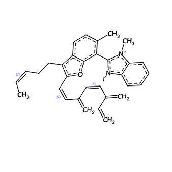 C=CC(=C)/C=C\C(=C)/C=C\c1oc2c(-c3n(I)c4ccccc4[n+]3C)c(C)ccc2c1CC/C=C\C